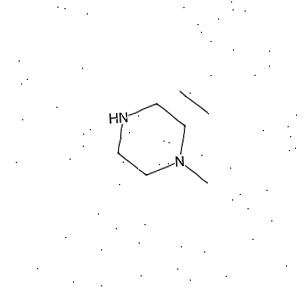 CC.CN1CCNCC1